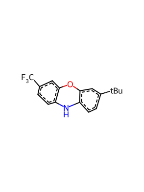 CC(C)(C)c1ccc2c(c1)Oc1cc(C(F)(F)F)ccc1N2